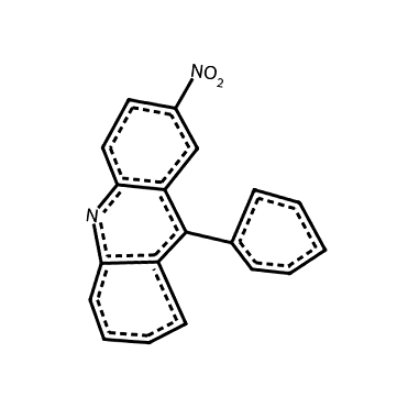 O=[N+]([O-])c1ccc2nc3ccccc3c(-c3ccccc3)c2c1